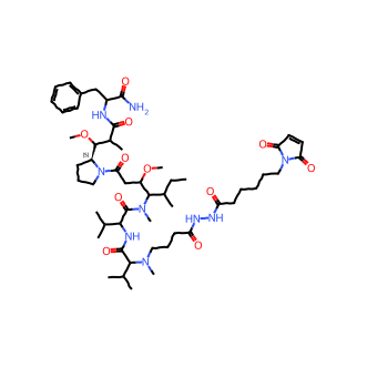 CCC(C)C(C(CC(=O)N1CCC[C@H]1C(OC)C(C)C(=O)NC(Cc1ccccc1)C(N)=O)OC)N(C)C(=O)C(NC(=O)C(C(C)C)N(C)CCCC(=O)NNC(=O)CCCCCN1C(=O)C=CC1=O)C(C)C